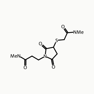 CNC(=O)CCN1C(=O)CC(SCC(=O)NC)C1=O